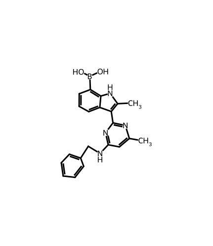 Cc1cc(NCc2ccccc2)nc(-c2c(C)[nH]c3c(B(O)O)cccc23)n1